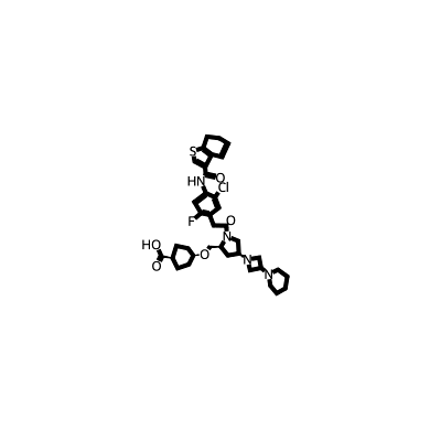 O=C(Nc1cc(F)c(CC(=O)N2C[C@@H](N3CC(N4CCCCC4)C3)C[C@H]2CO[C@H]2CC[C@H](C(=O)O)CC2)cc1Cl)c1csc2c1C=CCC2